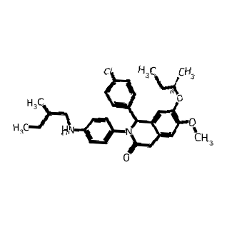 CCC(C)CNc1ccc(N2C(=O)Cc3cc(OC)c(O[C@H](C)CC)cc3C2c2ccc(Cl)cc2)cc1